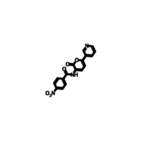 O=C(Nc1ccc(-c2cccnc2)oc1=O)c1ccc([N+](=O)[O-])cc1